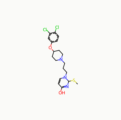 CSC1N=C(O)C=CN1CCCN1CCC(Oc2ccc(Cl)c(Cl)c2)CC1